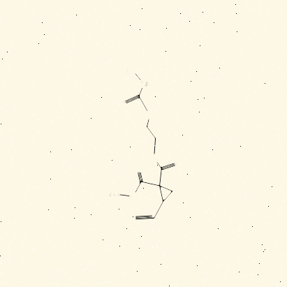 C=CC1CC1(C(=O)OCCCC)C(=O)OCCOC(=O)NCC